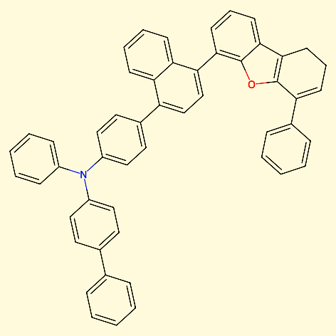 C1=C(c2ccccc2)c2oc3c(-c4ccc(-c5ccc(N(c6ccccc6)c6ccc(-c7ccccc7)cc6)cc5)c5ccccc45)cccc3c2CC1